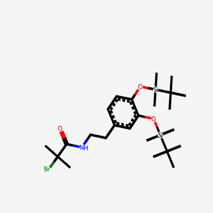 CC(C)(Br)C(=O)NCCc1ccc(O[Si](C)(C)C(C)(C)C)c(O[Si](C)(C)C(C)(C)C)c1